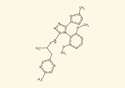 COc1cccc(OC)c1-n1c(NSC(C)Cc2cnc(C)cn2)nnc1-c1ccc(C)o1